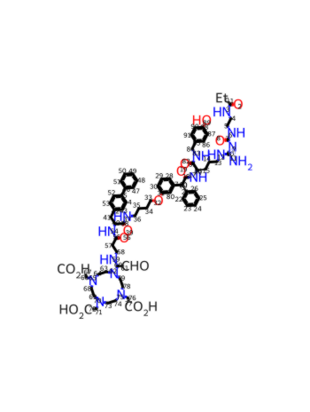 CCC(=O)NCCNC(=O)/N=C(/N)NCCC[C@@H](NC(=O)[C@@H](c1ccccc1)c1cccc(OCCCCNC(=O)C(Cc2ccc(-c3ccccc3)cc2)NC(=O)CCNC(C=O)N2CCN(CC(=O)O)CCN(CC(=O)O)CCN(CC(=O)O)CC2)c1)C(=O)NCc1ccc(O)cc1